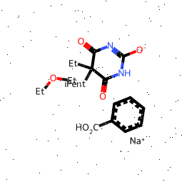 CCCC(C)C1(CC)C(=O)N=C([O-])NC1=O.CCOCC.O=C(O)c1ccccc1.[Na+]